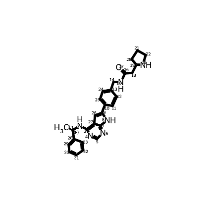 C[C@@H](Nc1ncnc2[nH]c(-c3ccc(CNC(=O)CC4CCCN4)cc3)cc12)c1ccccc1